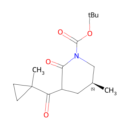 C[C@H]1CC(C(=O)C2(C)CC2)C(=O)N(C(=O)OC(C)(C)C)C1